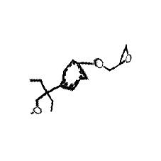 CCC(CC)(COC)c1ccc(OCC2CO2)cc1